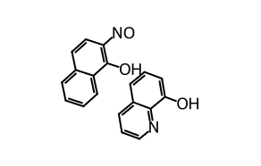 O=Nc1ccc2ccccc2c1O.Oc1cccc2cccnc12